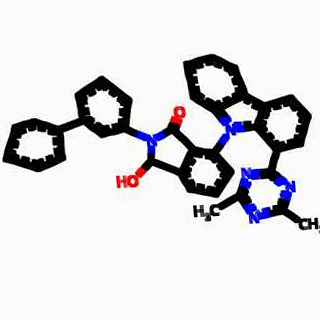 Cc1nc(C)nc(-c2cccc3c4ccccc4n(-c4cccc5c4C(=O)N(c4cccc(-c6ccccc6)c4)C5O)c23)n1